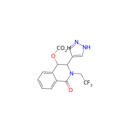 O=C(O)OC1c2ccccc2C(=O)N(CC(F)(F)F)C1c1cn[nH]c1